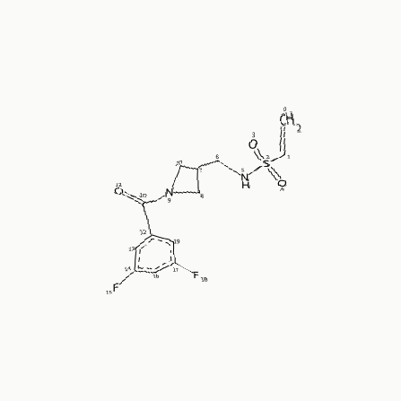 C=CS(=O)(=O)NCC1CN(C(=O)c2cc(F)cc(F)c2)C1